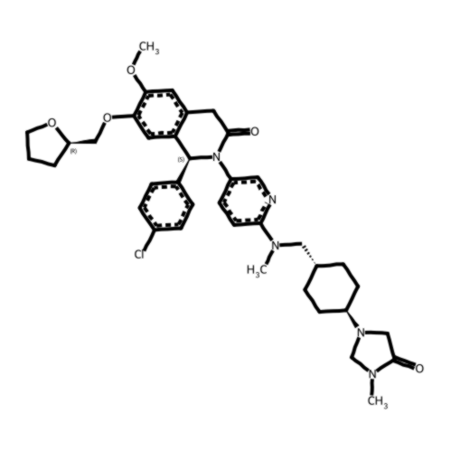 COc1cc2c(cc1OC[C@H]1CCCO1)[C@H](c1ccc(Cl)cc1)N(c1ccc(N(C)C[C@H]3CC[C@H](N4CC(=O)N(C)C4)CC3)nc1)C(=O)C2